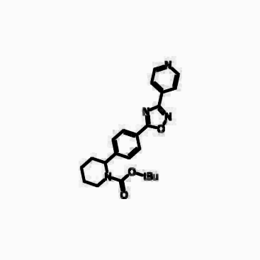 CC(C)(C)OC(=O)N1CCCCC1c1ccc(-c2nc(-c3ccncc3)no2)cc1